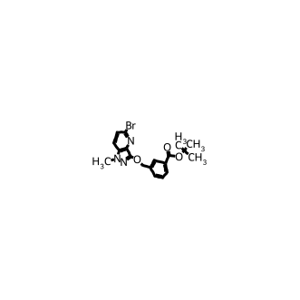 Cn1nc(OCc2cccc(C(=O)OC(C)(C)C)c2)c2nc(Br)ccc21